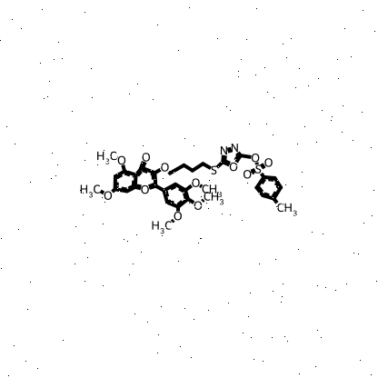 COc1cc(OC)c2c(=O)c(OCCCCSc3nnc(OS(=O)(=O)c4ccc(C)cc4)o3)c(-c3cc(OC)c(OC)c(OC)c3)oc2c1